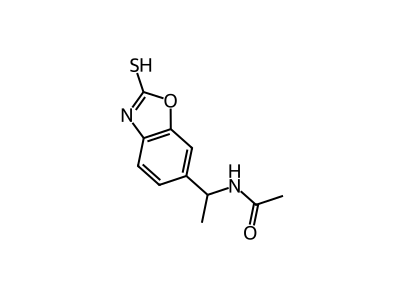 CC(=O)NC(C)c1ccc2nc(S)oc2c1